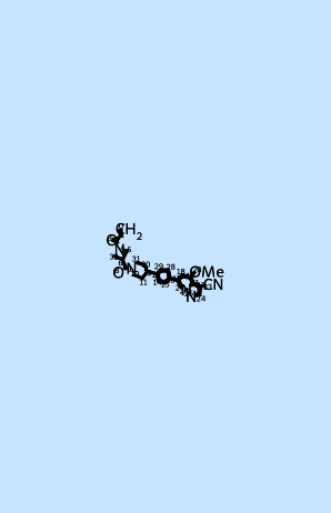 C=CC(=O)N1CC(C(=O)N2CCC(c3ccc(-c4cc(OC)c5c(C#N)cnn5c4)cc3)CC2)C1